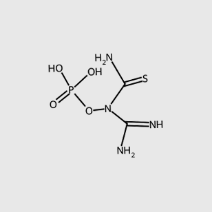 N=C(N)N(OP(=O)(O)O)C(N)=S